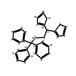 C1=CCC(C(COC(c2ccccc2)(c2ccccc2)c2ccccc2)C2=CC=CC2)=C1